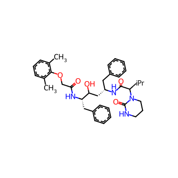 Cc1cccc(C)c1OCC(=O)N[C@@H](Cc1ccccc1)C(O)C[C@H](Cc1ccccc1)NC(=O)C(C(C)C)N1CCCNC1=O